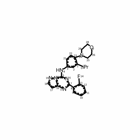 CC(C)c1cc(Nc2nc(-c3ccccc3F)nc3ccnn23)ccc1N1CCOCC1